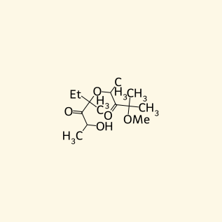 CCC(C)(OC(C)C(=O)C(C)(C)OC)C(=O)C(C)O